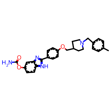 Cc1ccc(CN2CCC(COc3ccc(-c4nc5cc(OC(N)=O)ccc5[nH]4)cc3)CC2)cc1